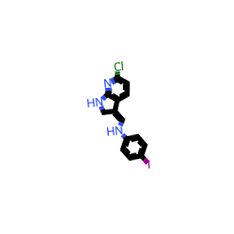 Clc1ccc2c(n1)NCC2=CNc1ccc(I)cc1